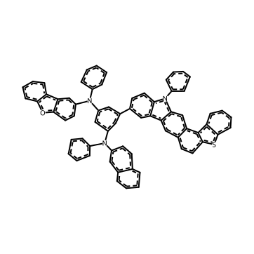 c1ccc(N(c2cc(-c3ccc4c(c3)c3cc5ccc6sc7ccccc7c6c5cc3n4-c3ccccc3)cc(N(c3ccccc3)c3ccc4oc5ccccc5c4c3)c2)c2ccc3ccccc3c2)cc1